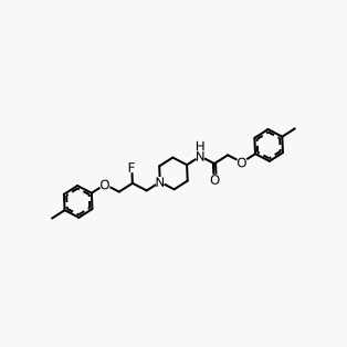 Cc1ccc(OCC(=O)NC2CCN(CC(F)COc3ccc(C)cc3)CC2)cc1